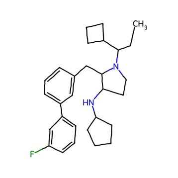 CCC(C1CCC1)N1CCC(NC2CCCC2)C1Cc1cccc(-c2cccc(F)c2)c1